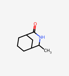 CC1NC(=O)C2CCCC1C2